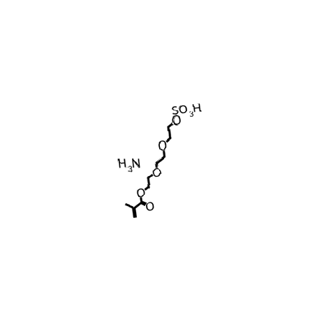 C=C(C)C(=O)OCCOCCOCCOS(=O)(=O)O.N